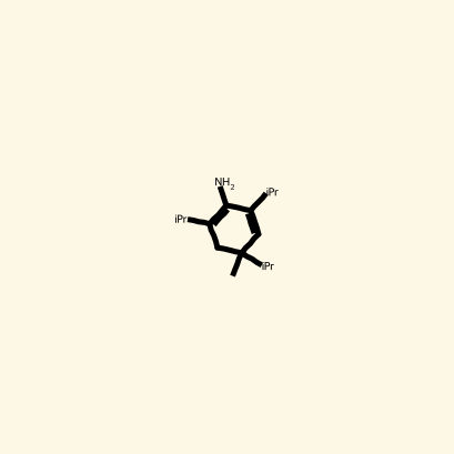 CC(C)C1=CC(C)(C(C)C)CC(C(C)C)=C1N